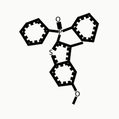 COc1ccc2sc(P(=O)(c3ccccc3)c3ccccc3)c(C)c2c1